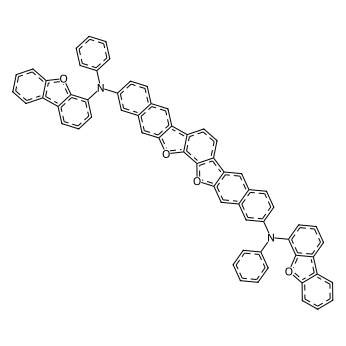 c1ccc(N(c2ccc3cc4c(cc3c2)oc2c4ccc3c4cc5ccc(N(c6ccccc6)c6cccc7c6oc6ccccc67)cc5cc4oc32)c2cccc3c2oc2ccccc23)cc1